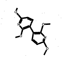 COc1ccc(-c2ccc(OC)nc2OC)c(OC)n1